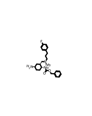 CCCN(CCCc1ccc(F)cc1)C[C@@H]1C[C@H](N)CC[C@H]1NC(=O)OCc1ccccc1